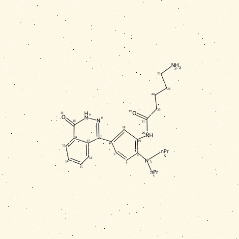 CCCN(CCC)c1ccc(-c2n[nH]c(=O)c3ccccc23)cc1NC(=O)CCCCN